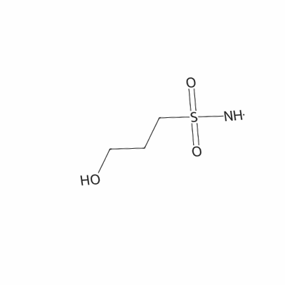 [NH]S(=O)(=O)CCCO